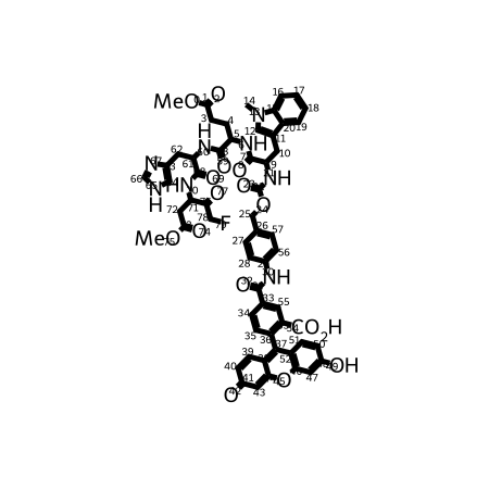 COC(=O)CCC(NC(=O)C(Cc1cn(C)c2ccccc12)NC(=O)OCc1ccc(NC(=O)c2ccc(-c3c4ccc(=O)cc-4oc4cc(O)ccc34)c(C(=O)O)c2)cc1)C(=O)NC(Cc1c[nH]cn1)C(=O)NC(CC(=O)OC)C(=O)CF